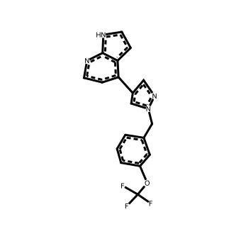 FC(F)(F)Oc1cccc(Cn2cc(-c3ccnc4[nH]ccc34)cn2)c1